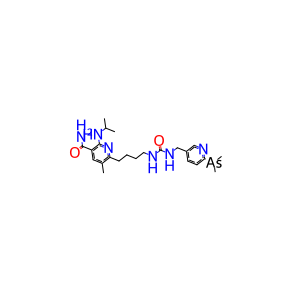 Cc1cc(C(N)=O)c(NC(C)C)nc1CCCCNC(=O)NCc1ccc([As](C)C)nc1